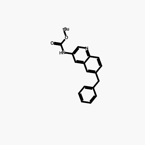 CC(C)(C)OC(=O)Nc1cnc2ccc(Cc3ccccc3)cc2c1